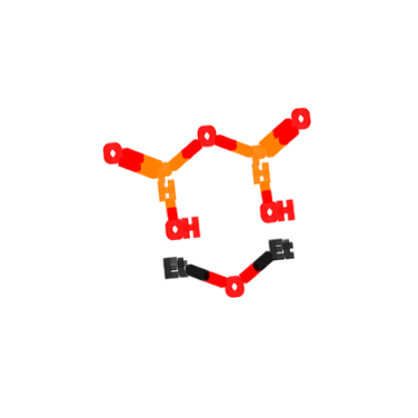 CCOCC.O=[PH](O)O[PH](=O)O